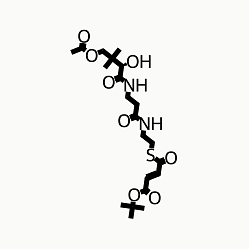 CC(=O)OCC(C)(C)[C@@H](O)C(=O)NCCC(=O)NCCSC(=O)/C=C/C(=O)OC(C)(C)C